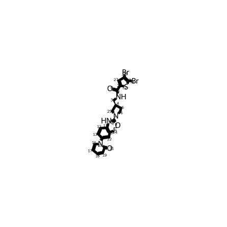 O=C(NC[C@H]1CCN(C(=O)Nc2ccc(-n3ccccc3=O)cc2F)C1)c1cc(Br)c(Br)s1